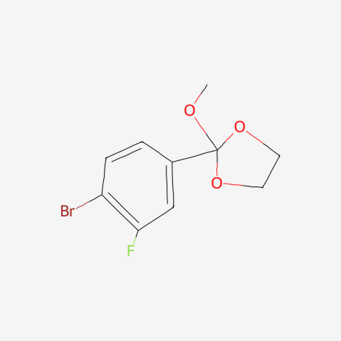 COC1(c2ccc(Br)c(F)c2)OCCO1